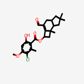 COc1cc(O)c(C(=O)OC2CC3(C)C2=C(C=O)CC2CC(C)(C)CC23)c(C)c1Cl